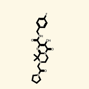 CC1(C)c2nc(C(=O)NCc3ccc(F)cc3)c(O)c(=O)n2CCN1CC(=O)N1CCCC1